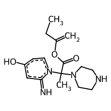 C=C(CC)OC(=O)C(C)(N1CCNCC1)n1ccc(O)cc1=N